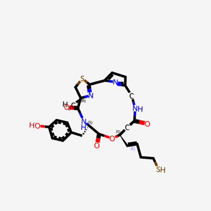 C[C@@]12CSC(=N1)C1=CCC(=N1)CNC(=O)C[C@@H](/C=C/CCS)OC(=O)[C@H](Cc1ccc(O)cc1)NC2=O